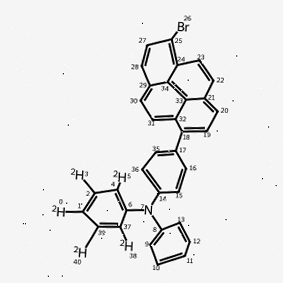 [2H]c1c([2H])c([2H])c(N(c2ccccc2)c2ccc(-c3ccc4ccc5c(Br)ccc6ccc3c4c65)cc2)c([2H])c1[2H]